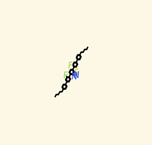 CCCCCc1ccc(-c2ccc(-c3ccc(-c4ccc(-c5ccc(CCCCC)cc5)cc4F)c4snnc34)c(F)c2)cc1